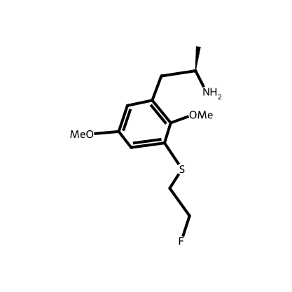 COc1cc(C[C@@H](C)N)c(OC)c(SCCF)c1